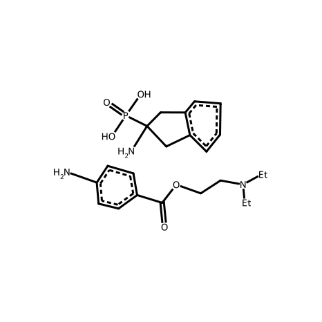 CCN(CC)CCOC(=O)c1ccc(N)cc1.NC1(P(=O)(O)O)Cc2ccccc2C1